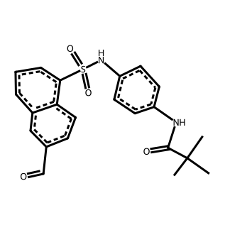 CC(C)(C)C(=O)Nc1ccc(NS(=O)(=O)c2cccc3cc(C=O)ccc23)cc1